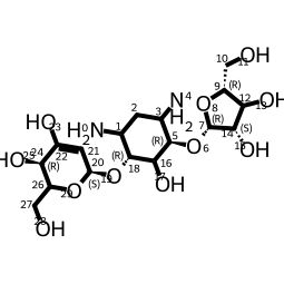 NC1CC(N)[C@@H](O[C@@H]2O[C@H](CO)C(O)[C@@H]2O)C(O)[C@@H]1O[C@@H]1C=C(O)[C@H](O)C(CO)O1